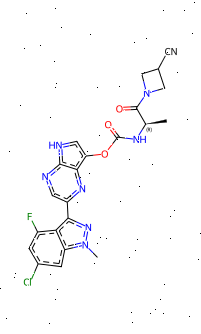 C[C@@H](NC(=O)Oc1c[nH]c2ncc(-c3nn(C)c4cc(Cl)cc(F)c34)nc12)C(=O)N1CC(C#N)C1